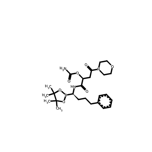 CC1(C)OB([C@H](CCCc2ccccc2)NC(=O)C(CC(=O)N2CCOCC2)OC(N)=O)OC1(C)C